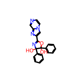 O[C@@]1(c2ccccc2)N=C(c2cn3ccncc3n2)O[C@]1(O)c1ccccc1